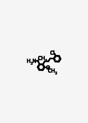 COc1cccc(C(C)N)c1CCCc1ccccc1Cl